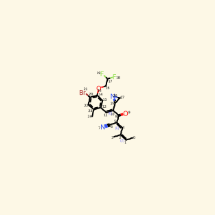 C/C=C(C)\C=C(/C#N)C(=O)/C(=C/c1cc(OCC(F)F)c(Br)cc1C)C1=NC1